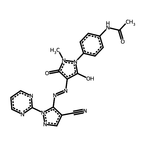 CC(=O)Nc1ccc(-n2c(O)c(N=Nc3c(C#N)cnn3-c3ncccn3)c(=O)n2C)cc1